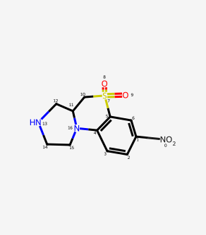 O=[N+]([O-])c1ccc2c(c1)S(=O)(=O)CC1CNCCN21